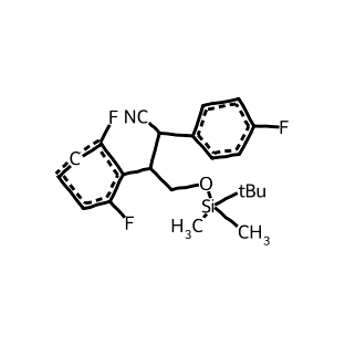 CC(C)(C)[Si](C)(C)OCC(c1c(F)cccc1F)C(C#N)c1ccc(F)cc1